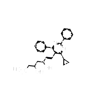 O=C(O)CC(O)CC(O)/C=C/c1c(-c2ccccc2)nc(-c2ccccc2)nc1C1CC1